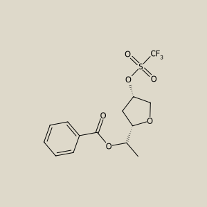 CC(OC(=O)c1ccccc1)[C@@H]1C[C@H](OS(=O)(=O)C(F)(F)F)CO1